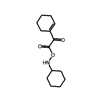 O=C(ONC1CCCCC1)C(=O)C1=CCCCC1